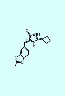 CC1=NC2CC=C(/C=c3\[nH]c(=C4CCC4)[nH]c3=O)C=C2S1